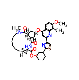 COc1ccc2c(O[C@@H]3C[C@H]4C(=O)N[C@]5(C(=O)O)C[C@H]5CCCCCCN(C)C(=O)[C@@H]4C3)cc(-c3csc(C4CCCCC4)n3)nc2c1C